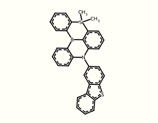 C[Si]1(C)c2ccccc2B2c3ccccc3N(c3ccc4sc5ccccc5c4c3)c3cccc1c32